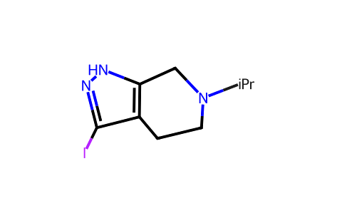 CC(C)N1CCc2c(I)n[nH]c2C1